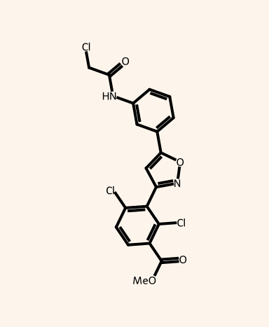 COC(=O)c1ccc(Cl)c(-c2cc(-c3cccc(NC(=O)CCl)c3)on2)c1Cl